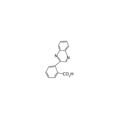 O=C(O)c1ccccc1-c1cnc2ccccc2n1